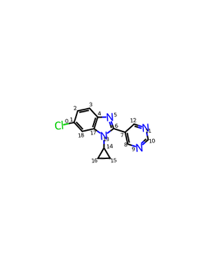 Clc1ccc2nc(-c3cncnc3)n(C3CC3)c2c1